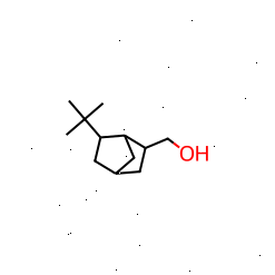 CC(C)(C)C1CC2CC(CO)C1C2